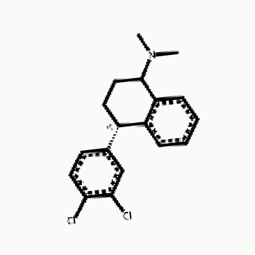 CN(C)C1CC[C@@H](c2ccc(Cl)c(Cl)c2)c2ccccc21